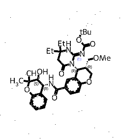 CCC1(CC)CC(=O)N([C@H]2c3cc(C(=O)N[C@@H]4c5ccccc5OC(C)(C)[C@H]4O)ccc3OC[C@H]2COC)/C(=N/C(=O)OC(C)(C)C)N1